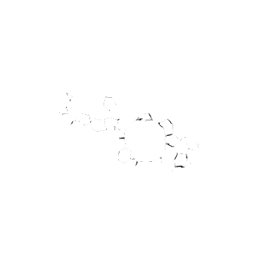 CCn1c(-c2cccnc2[C@H](C)OC)c2c3cc(ccc31)-c1csc(n1)C[C@H](NC(=O)[C@H](C1CCCC1)N1CCC[C@@]3(CCN(C(=O)[C@@H]4N[C@@H]4C4CC4)C3)C1)C(=O)N1CCC[C@H](N1)C(=O)OCC(C)(C)C2